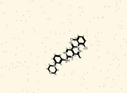 Cc1nn(-c2c(Cl)cccc2Cl)c(=O)c2cnc(Nc3cccc(N4CCOCC4)c3)nc12